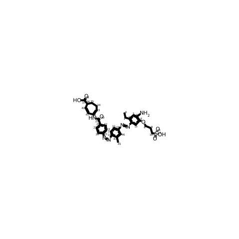 CCc1cc(N)c(OCCCS(=O)(=O)O)cc1N=Nc1ccc(/N=N\c2ccc(C(=O)NC3=CCCC(C(=O)O)C=C3)cc2)c(C)c1